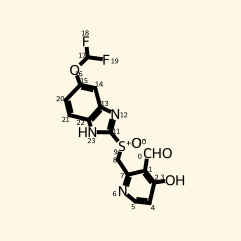 O=Cc1c(O)ccnc1C[S+]([O-])c1nc2cc(OC(F)F)ccc2[nH]1